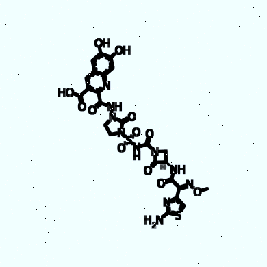 CON=C(C(=O)N[C@H]1CN(C(=O)NS(=O)(=O)N2CCN(NC(=O)c3nc4cc(O)c(O)cc4cc3C(=O)O)C2=O)C1=O)c1csc(N)n1